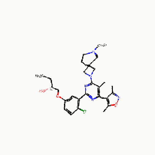 CCOC(=O)N1CCC2(C1)CN(c1nc(-c3cc(OC[C@H](O)CNC)ccc3Cl)nc(-c3c(C)noc3C)c1C)C2